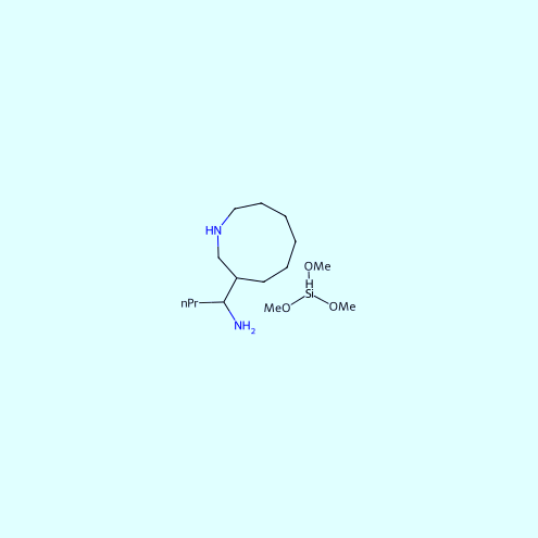 CCCC(N)C1CCCCCCNC1.CO[SiH](OC)OC